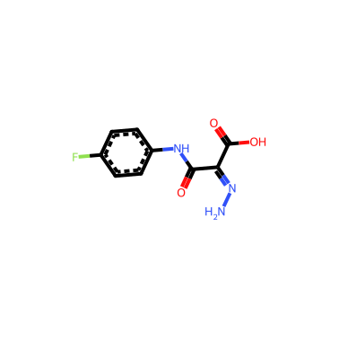 N/N=C(/C(=O)O)C(=O)Nc1ccc(F)cc1